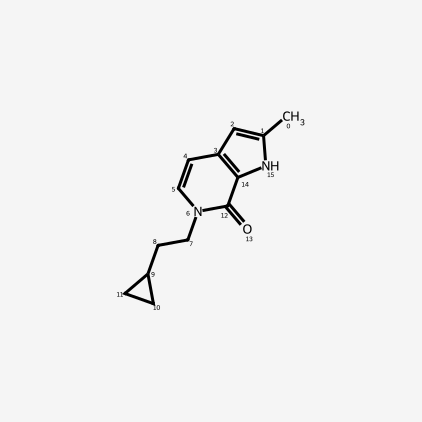 Cc1cc2ccn(CCC3CC3)c(=O)c2[nH]1